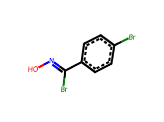 ON=C(Br)c1ccc(Br)cc1